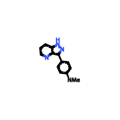 CNc1ccc(-c2n[nH]c3cccnc23)cc1